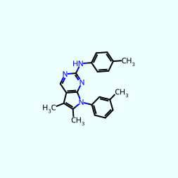 Cc1ccc(Nc2ncc3c(C)c(C)n(-c4cccc(C)c4)c3n2)cc1